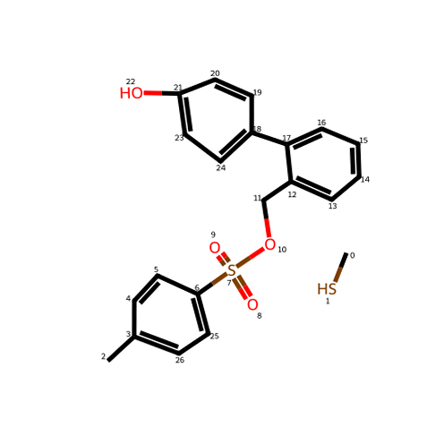 CS.Cc1ccc(S(=O)(=O)OCc2ccccc2-c2ccc(O)cc2)cc1